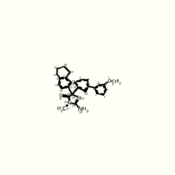 COc1cccc(-c2cccc(C3(c4ccc5c(c4)CCCC5)N=C(N)N(C)C3=O)c2)c1